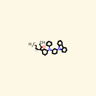 C=C/C=C\c1c(C=C)oc2c(N(c3ccccc3)c3cccc(-n4c5ccccc5c5ccccc54)c3)cccc12